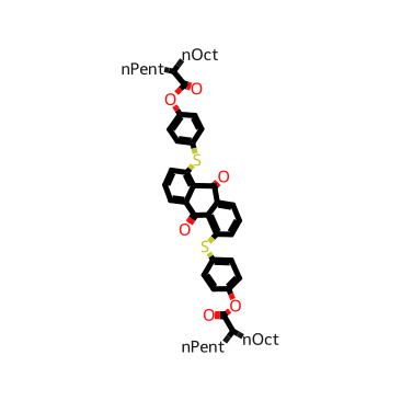 CCCCCCCCC(CCCCC)C(=O)Oc1ccc(Sc2cccc3c2C(=O)c2cccc(Sc4ccc(OC(=O)C(CCCCC)CCCCCCCC)cc4)c2C3=O)cc1